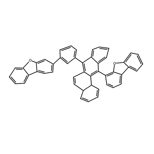 C1=CC2C=Cc3c(c(-c4cccc5c4oc4ccccc45)c4ccccc4c3-c3cccc(-c4ccc5c(c4)oc4ccccc45)c3)C2C=C1